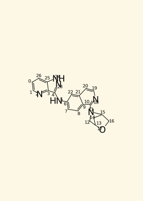 c1cnc2c(Nc3ccc4c(N5CC6CC5CO6)nccc4c3)n[nH]c2c1